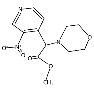 COC(=O)C(c1ccncc1[N+](=O)[O-])N1CCOCC1